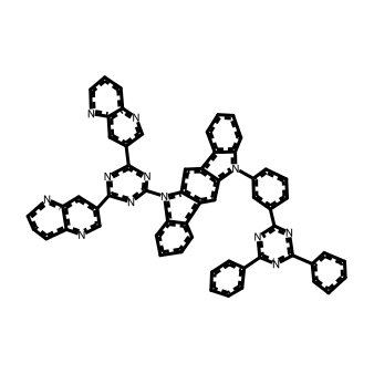 c1ccc(-c2nc(-c3ccccc3)nc(-c3cccc(-n4c5ccccc5c5cc6c(cc54)c4ccccc4n6-c4nc(-c5cnc6cccnc6c5)nc(-c5cnc6cccnc6c5)n4)c3)n2)cc1